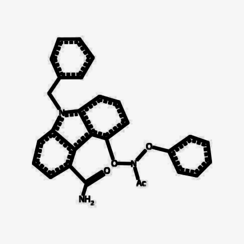 CC(=O)N(Oc1ccccc1)Oc1cccc2c1c1c(C(N)=O)cccc1n2Cc1ccccc1